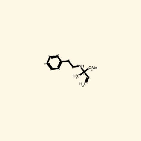 C=CC(C)(NCCc1ccccc1)OC